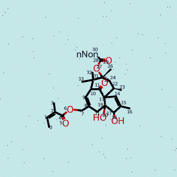 C/C=C(/C)C(=O)OCC1=CC2C(=O)C3(C=C(C)C(O)C3(O)C1)[C@H](C)C[C@@](C)(OC(=O)CCCCCCCCC)C2(C)C